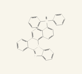 O=P(c1ccccc1)(c1ccccc1)c1cccc2c1ccc1c3ccccc3c3nc4ccccc4n3c21